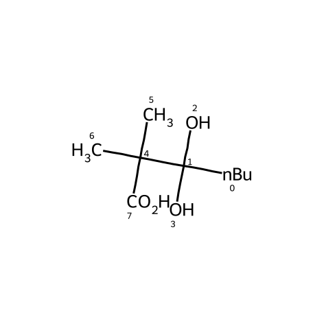 CCCCC(O)(O)C(C)(C)C(=O)O